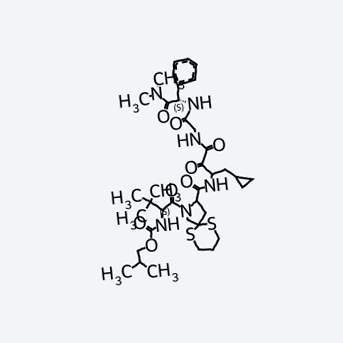 CC(C)COC(=O)N[C@H](C(=O)N1CC2(CC1C(=O)NC(CC1CC1)C(=O)C(=O)NCC(=O)N[C@H](C(=O)N(C)C)c1ccccc1)SCCCS2)C(C)(C)C